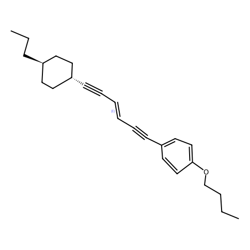 CCCCOc1ccc(C#C/C=C/C#C[C@H]2CC[C@H](CCC)CC2)cc1